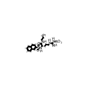 CC(C)C[CH]NC(=O)[C@H](CCCNC(=N)N[N+](=O)[O-])NS(=O)(=O)c1ccc2ccccc2c1